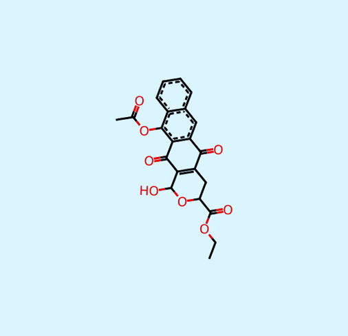 CCOC(=O)C1CC2=C(C(=O)c3c(cc4ccccc4c3OC(C)=O)C2=O)C(O)O1